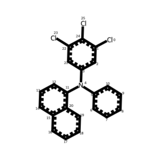 Clc1cc(N(c2ccccc2)c2cccc3ccccc23)cc(Cl)c1Cl